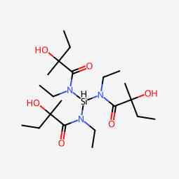 CCN(C(=O)C(C)(O)CC)[SiH](N(CC)C(=O)C(C)(O)CC)N(CC)C(=O)C(C)(O)CC